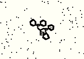 CCC(CP(c1ccccc1)c1ccccc1)CP(c1ccccc1)c1ccccc1